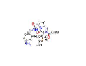 CC(C)COC(=O)N[C@@H](C(=O)N1CCC[C@H]1C(=O)NC[C@H]1CC[C@H](N)CC1)C(C)(C)SCC(C)C